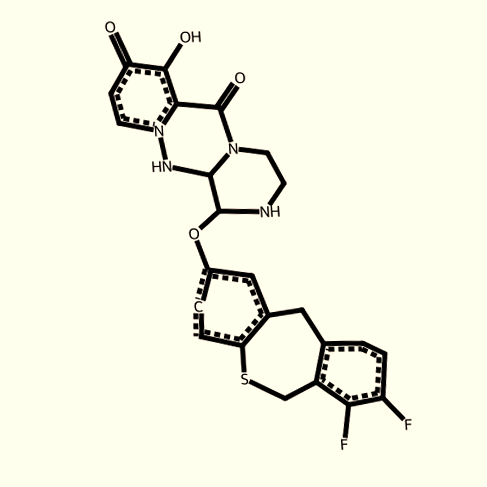 O=C1c2c(O)c(=O)ccn2NC2C(Oc3ccc4c(c3)Cc3ccc(F)c(F)c3CS4)NCCN12